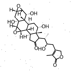 CC1=C(C[C@@H](O)[C@@H](C)C2C(=O)C[C@H]3[C@@H]4[C@@H]5O[C@@H]5[C@@]5(O)C[C@@H]6O[C@@H]6[C@H](O)[C@]5(C)[C@H]4C[C@H](O)[C@]23C)COC1=O